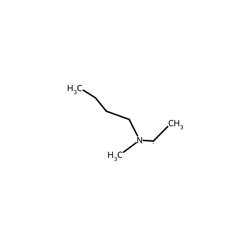 C[CH]N(C)CCCC